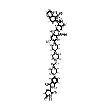 CCc1cc(Nc2ncc(Br)c(Nc3ccc4nccnc4c3P(C)(C)=O)n2)c(OC)cc1N1CCC(N2CCN(CCN3CCN(c4ccc5c(c4)C(=O)N(C4CCC(=O)NC4=O)C5)CC3)CC2)CC1